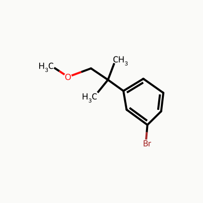 COCC(C)(C)c1cccc(Br)c1